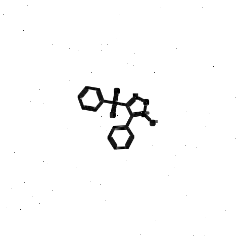 O=S(=O)(c1ccccc1)c1no[n+]([O-])c1-c1ccccc1